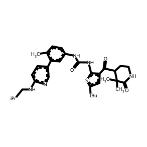 Cc1ccc(NC(=O)Nc2sc(C(C)(C)C)cc2C(=O)C2CCNC(=O)C2(C)C)cc1-c1ccc(NCC(C)C)nc1